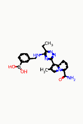 CCc1nnc(-c2c(C)cn3c(C(N)=O)cccc23)nc1NCc1cccc(B(O)O)c1